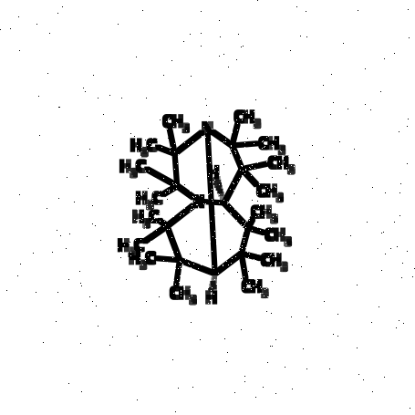 CC1(C)[C@H]2N3C(C)(C)C(C)(C)[C@@H](N(C(C)(C)C2(C)C)C(C)(C)C3(C)C)C1(C)C